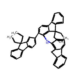 CCC1(CC)c2ccccc2-c2ccc(-c3ccc4c(c3Nc3cccc5c3Cc3ccccc3-5)C(CC)(CC)c3ccccc3-4)cc21